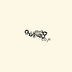 COc1cccc(C[C@@H](C(=O)O)n2cc(CNS(=O)(=O)c3ccc(-c4ccccn4)s3)nn2)c1